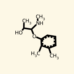 CNC(Oc1cccc(C)c1C)C(C)O